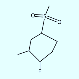 CC1CC(S(C)(=O)=O)CCC1F